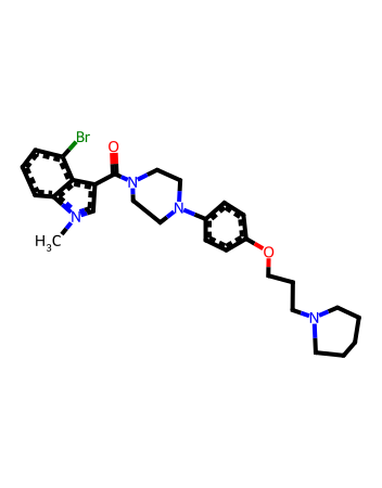 Cn1cc(C(=O)N2CCN(c3ccc(OCCCN4CCCCC4)cc3)CC2)c2c(Br)cccc21